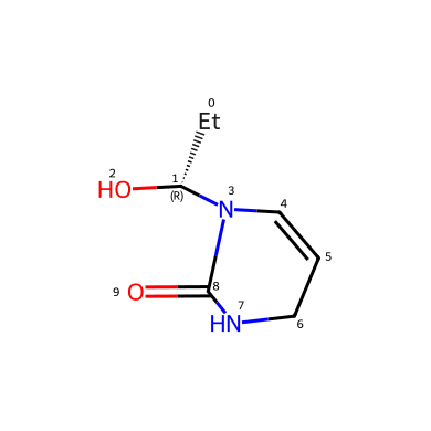 CC[C@@H](O)N1C=CCNC1=O